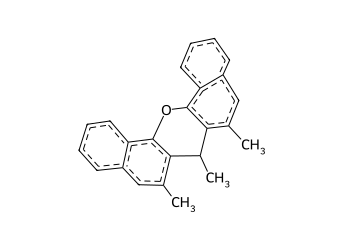 Cc1cc2ccccc2c2c1C(C)c1c(C)cc3ccccc3c1O2